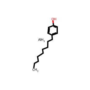 CCCCCCCCCc1ccc(O)cc1.[AlH3]